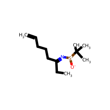 C=CCCCC(CC)=N[S+]([O-])C(C)(C)C